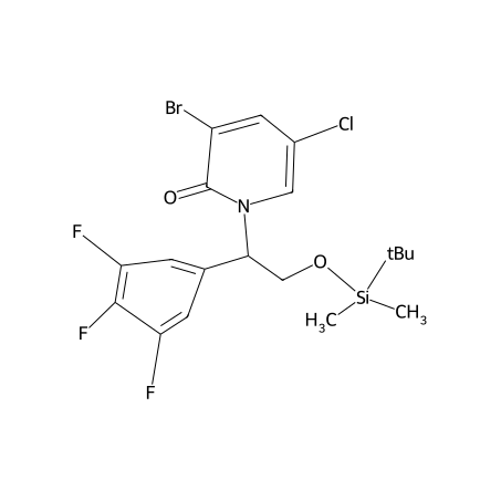 CC(C)(C)[Si](C)(C)OCC(c1cc(F)c(F)c(F)c1)n1cc(Cl)cc(Br)c1=O